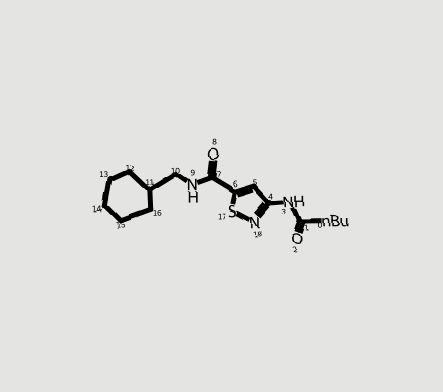 CCCCC(=O)Nc1cc(C(=O)NCC2CCCCC2)sn1